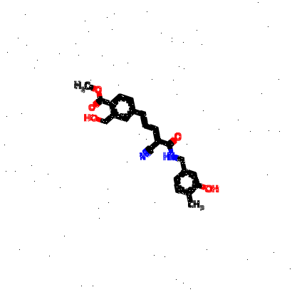 COC(=O)c1ccc(/C=C/C=C(\C#N)C(=O)NCc2ccc(C)c(O)c2)cc1CO